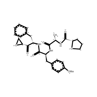 COc1ccc(C[C@H](NC(=O)[C@H](C)NC(=O)[C@@H]2CCCO2)C(=O)N[C@@H](Cc2ccccc2)C(=O)[C@H]2CO2)cc1